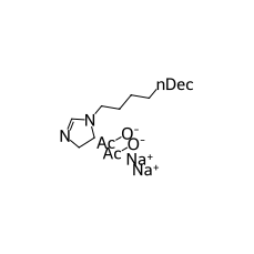 CC(=O)[O-].CC(=O)[O-].CCCCCCCCCCCCCCN1C=NCC1.[Na+].[Na+]